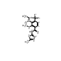 CC[S+]([O-])c1c(C(F)(F)F)ccc(C(=O)Nc2nnc(C)o2)c1SC